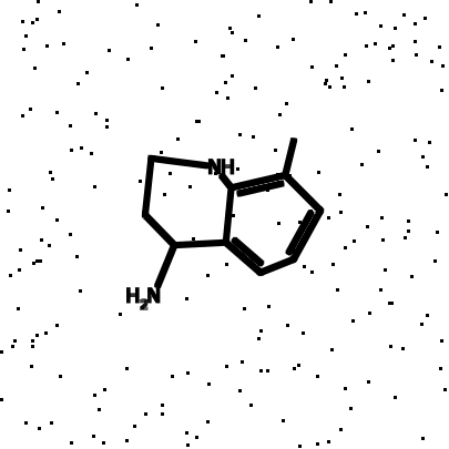 Cc1cccc2c1NCCC2N